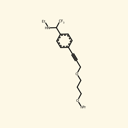 CCCOCCCOCC#Cc1ccc(C(NCC)C(F)(F)F)cc1